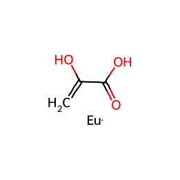 C=C(O)C(=O)O.[Eu]